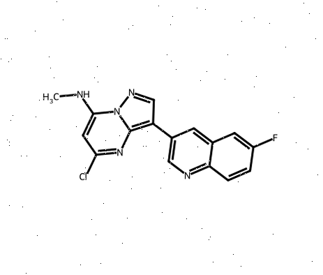 CNc1cc(Cl)nc2c(-c3cnc4ccc(F)cc4c3)cnn12